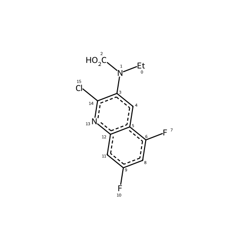 CCN(C(=O)O)c1cc2c(F)cc(F)cc2nc1Cl